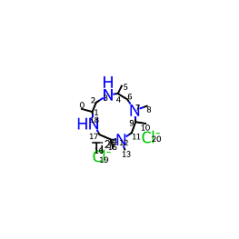 CC1CNC(C)CN(C)C(C)CN(C)[C](C)([Ti+2])CN1.[Cl-].[Cl-]